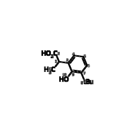 CC(C(=O)O)c1cccc(C(C)(C)C)c1O